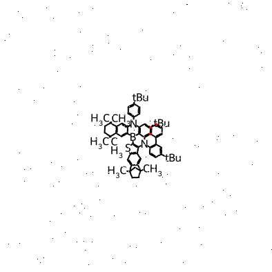 CC(C)(C)c1ccc(N2c3cc4c(cc3B3c5sc6cc7c(cc6c5N(c5ccc(C(C)(C)C)cc5-c5ccccc5)c5cc(C(C)(C)C)cc2c53)C2(C)CCC7(C)C2)C(C)(C)CCC4(C)C)cc1